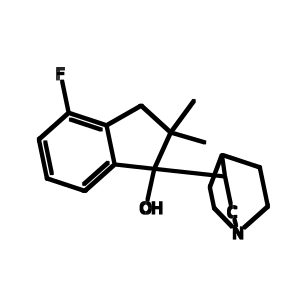 CC1(C)Cc2c(F)cccc2C1(O)C1CN2CCC1CC2